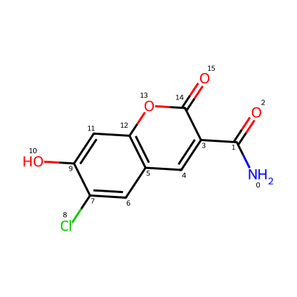 NC(=O)c1cc2cc(Cl)c(O)cc2oc1=O